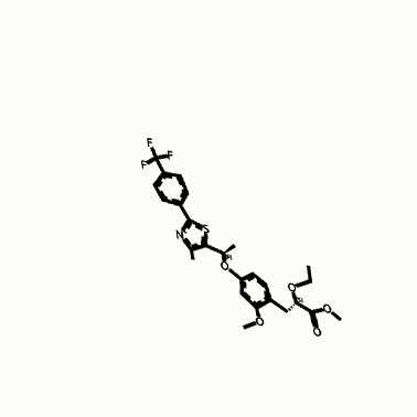 CCO[C@@H](Cc1ccc(O[C@H](C)c2sc(-c3ccc(C(F)(F)F)cc3)nc2C)cc1OC)C(=O)OC